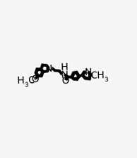 COc1ccc2c(c1)CN(CCCCNC(=O)c1ccc(-c3ccc(C)nc3)cc1)CC2